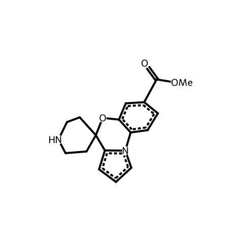 COC(=O)c1ccc2c(c1)OC1(CCNCC1)c1cccn1-2